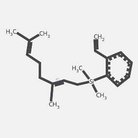 C=Cc1ccccc1[Si](C)(C)C/C=C(\C)CCC=C(C)C